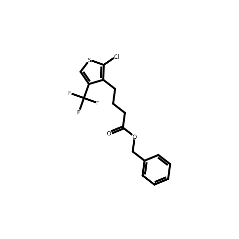 O=C(CCCc1c(C(F)(F)F)csc1Cl)OCc1ccccc1